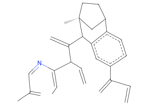 C=CC(=C)c1ccc2c(c1)C(C(=C)C(C=C)C(=C/C)/N=C\C(=C)C)[C@@]1(C)CCC2C1